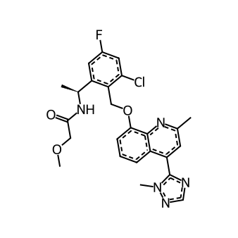 COCC(=O)N[C@@H](C)c1cc(F)cc(Cl)c1COc1cccc2c(-c3ncnn3C)cc(C)nc12